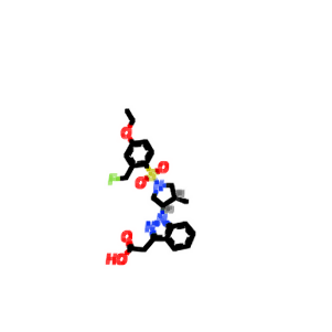 CCOc1ccc(S(=O)(=O)N2C[C@@H](C)[C@@H](n3nc(CC(=O)O)c4ccccc43)C2)c(CF)c1